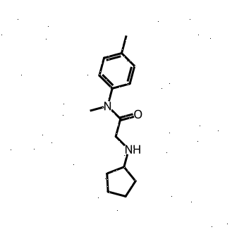 Cc1ccc(N(C)C(=O)CNC2CCCC2)cc1